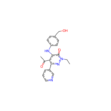 CCn1nc(-c2cccnc2)c(C(C)=O)c(Nc2ccc(CO)cc2)c1=O